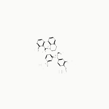 Nc1ccc([C@H]2[C@@H](C(=O)Nc3ccc(CO)c(C(F)(F)F)c3)Cc3ccccc3N2C(=O)c2ccccc2Cl)cc1